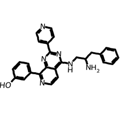 NC(CNc1nc(-c2ccncc2)nc2c(-c3cccc(O)c3)nccc12)Cc1ccccc1